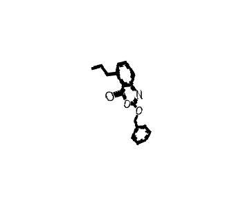 CCCc1cccc2nc(OCc3ccccc3)oc(=O)c12